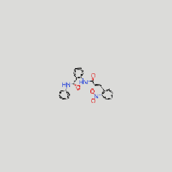 O=C(C=Cc1ccccc1[N+](=O)[O-])Nc1ccccc1C(=O)Nc1ccccc1